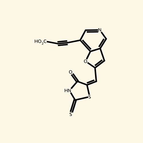 O=C(O)C#Cc1cncc2cc(C=C3SC(=S)NC3=O)oc12